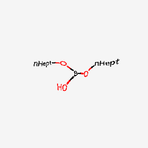 CCCCCCCOB(O)OCCCCCCC